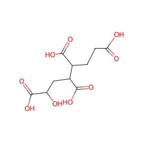 O=C(O)CCC(C(=O)O)C(CC(O)C(=O)O)C(=O)O